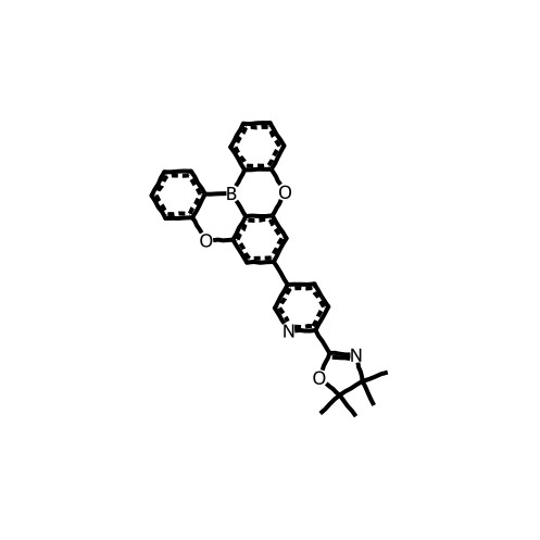 CC1(C)N=C(c2ccc(-c3cc4c5c(c3)Oc3ccccc3B5c3ccccc3O4)cn2)OC1(C)C